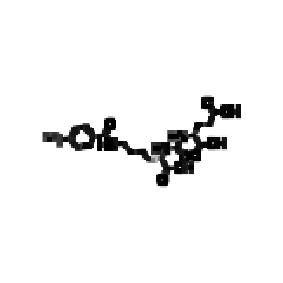 O=C(O)CC[C@H](NC(=O)N[C@@H](CCCCNC(=O)c1ccc([125I])cc1)C(=O)O)C(=O)O